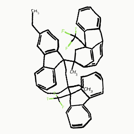 CCc1ccc2c(c1)-c1cc3ccc1C2(C1(C)CC2(C(F)(F)F)c4ccccc4-c4ccc1cc42)CC(CC)(C1(C(F)(F)F)c2ccccc2-c2ccccc21)CC3